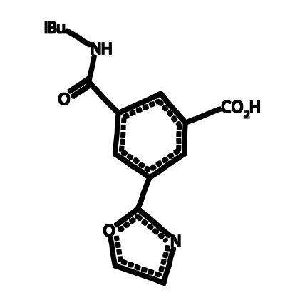 CCC(C)NC(=O)c1cc(C(=O)O)cc(-c2ncco2)c1